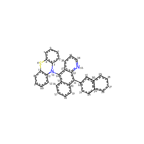 c1ccc2c(c1)Sc1ccccc1N2c1c2ccccc2c(-c2ccc3ccccc3c2)c2ncccc12